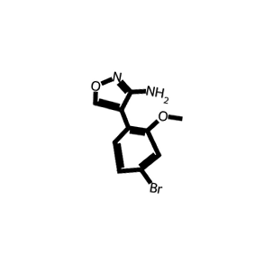 COc1cc(Br)ccc1-c1conc1N